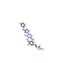 CN1C(=O)C(NC(=O)n2cc(Cc3cccc(F)n3)cn2)CCc2c(F)cc(C#CC(C)(C)O)cc21